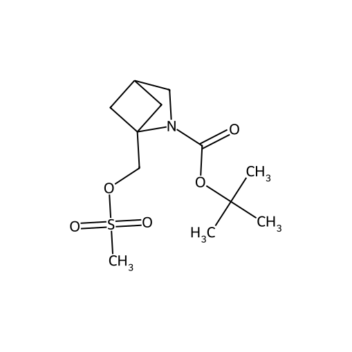 CC(C)(C)OC(=O)N1CC2CC1(COS(C)(=O)=O)C2